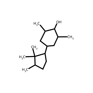 CC1CC(C2CCC(C)C2(C)C)CC(C)C1O